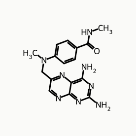 CNC(=O)c1ccc(N(C)Cc2cnc3nc(N)nc(N)c3n2)cc1